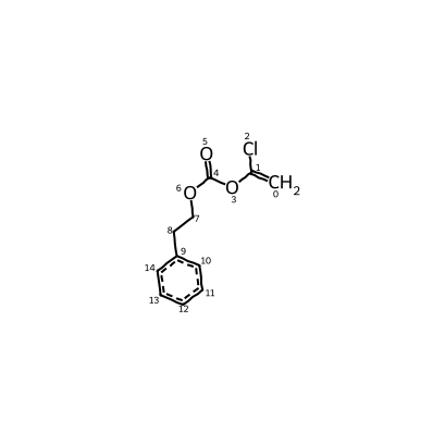 C=C(Cl)OC(=O)OCCc1ccccc1